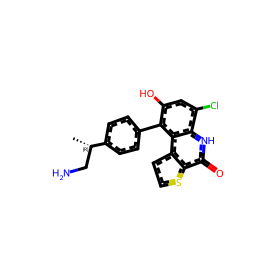 C[C@@H](CN)c1ccc(-c2c(O)cc(Cl)c3[nH]c(=O)c4sccc4c23)cc1